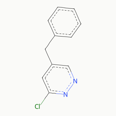 Clc1cc(Cc2ccccc2)cnn1